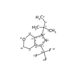 CCC(C)(C)n1nc(C(F)(F)F)c2c1COCC2